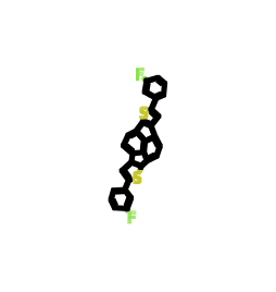 Fc1cccc(C2=CC3c4ccc5c6c(ccc(c46)C3S2)-c2cc(-c3cccc(F)c3)sc2-5)c1